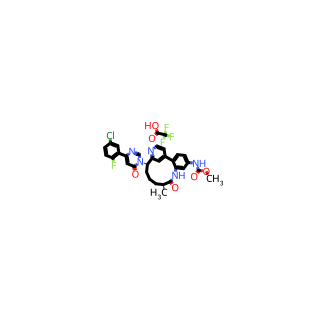 COC(=O)Nc1ccc2c(c1)NC(=O)[C@H](C)CCC[C@H](n1cnc(-c3cc(Cl)ccc3F)cc1=O)c1cc-2ccn1.O=C(O)C(F)(F)F